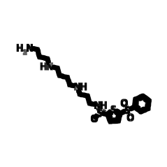 NCCCNCCCCNCCCN[S+]([O-])c1ccc(S(=O)(=O)c2ccccc2)s1